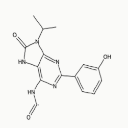 CC(C)n1c(=O)[nH]c2c(N[C]=O)nc(-c3cccc(O)c3)nc21